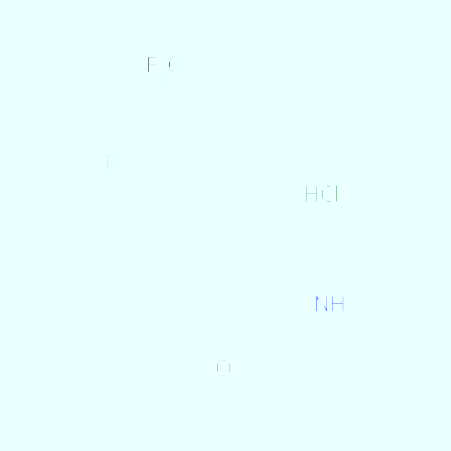 Cl.Fc1c(C(F)(F)F)ccc2c1CC1OCCNC21